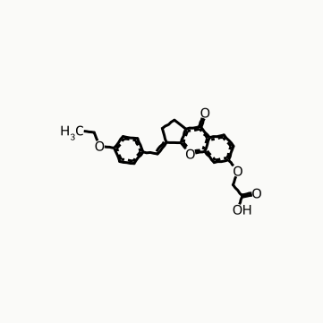 CCOc1ccc(/C=C2\CCc3c2oc2cc(OCC(=O)O)ccc2c3=O)cc1